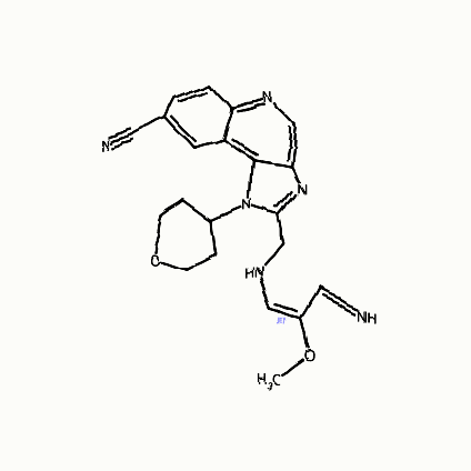 CO/C(C=N)=C/NCc1nc2cnc3ccc(C#N)cc3c2n1C1CCOCC1